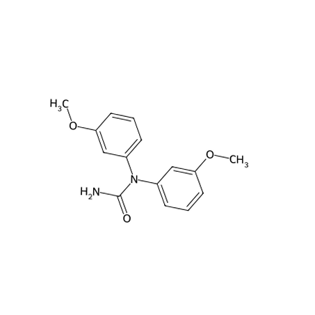 COc1cccc(N(C(N)=O)c2cccc(OC)c2)c1